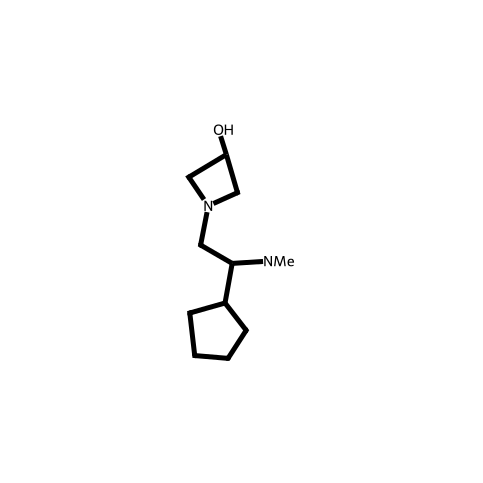 CNC(CN1CC(O)C1)C1CCCC1